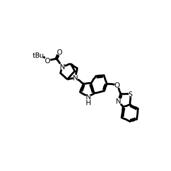 CC(C)(C)OC(=O)N1CC2CC1CN2c1c[nH]c2cc(Oc3nc4ccccc4s3)ccc12